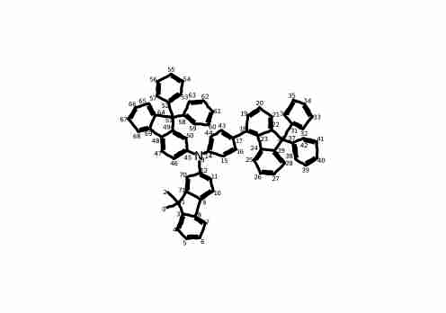 CC1(C)c2ccccc2-c2ccc(N(c3ccc(-c4cccc5c4-c4ccccc4C5(c4ccccc4)c4ccccc4)cc3)c3ccc4c(c3)C(c3ccccc3)(c3ccccc3)c3ccccc3-4)cc21